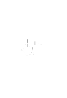 CN[C]1NCCN1